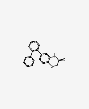 O=C1COc2ccc(-c3cccnc3-c3ccccc3)cc2N1